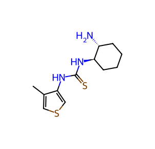 Cc1cscc1NC(=S)N[C@@H]1CCCC[C@H]1N